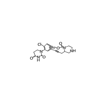 CC(C)(C)OC(=O)N1CCNCC1CC#Cc1ccc(Cl)c(N2CCC(=O)NC2=O)c1